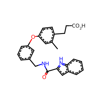 Cc1cc(Oc2cccc(CNC(=O)c3cc4ccccc4[nH]3)c2)ccc1CCC(=O)O